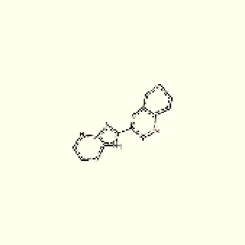 [c]1nc2ccccc2cc1-c1nc2ncccc2[nH]1